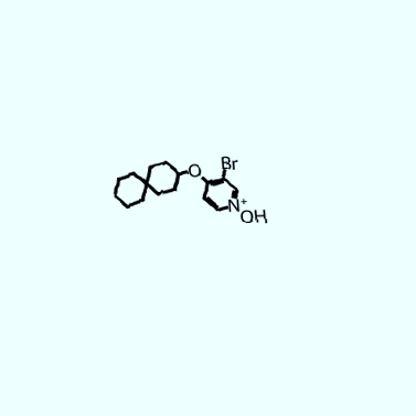 O[n+]1ccc(OC2CCC3(CCCCC3)CC2)c(Br)c1